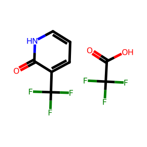 O=C(O)C(F)(F)F.O=c1[nH]cccc1C(F)(F)F